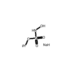 CC(C)OS(=O)(=O)NO.[NaH]